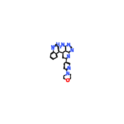 Nc1ncnc2nc(-c3ccc(N4CCOCC4)nc3)cc(-c3ccnc4ccccc34)c12